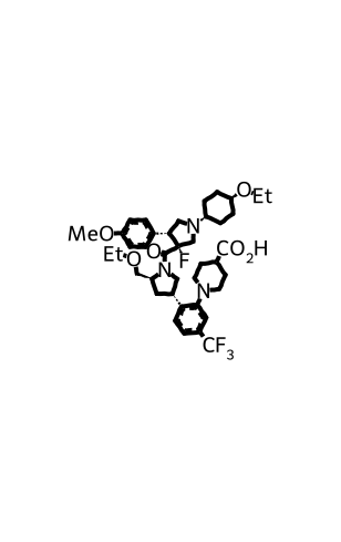 CCOC[C@@H]1C[C@@H](c2ccc(C(F)(F)F)cc2N2CCC(C(=O)O)CC2)CN1C(=O)[C@]1(F)CN([C@H]2CC[C@H](OCC)CC2)C[C@H]1c1ccc(OC)cc1